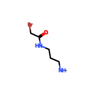 [NH]CCCNC(=O)CBr